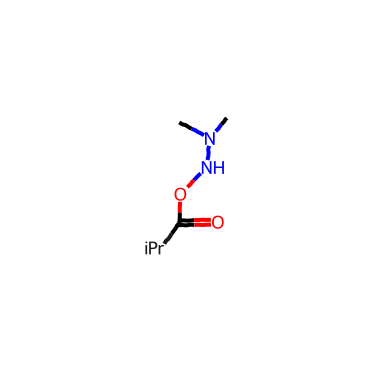 CC(C)C(=O)ONN(C)C